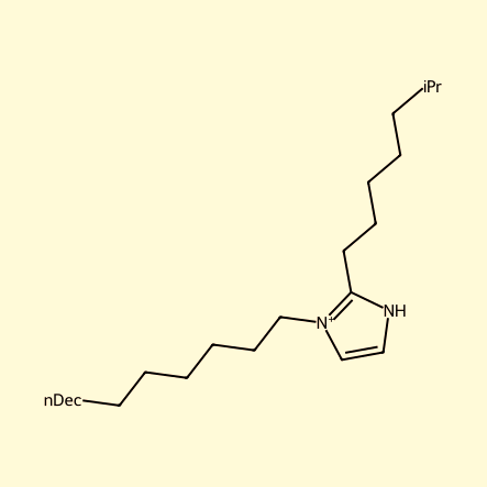 CCCCCCCCCCCCCCCC[n+]1cc[nH]c1CCCCCC(C)C